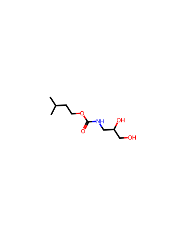 CC(C)CCOC(=O)NCC(O)CO